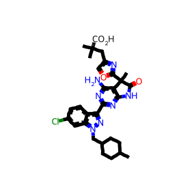 CC1CCC(Cn2nc(-c3nc(N)c4c(n3)NC(=O)C4(C)c3nc(CC(C)(C)C(=O)O)co3)c3ccc(Cl)cc32)CC1